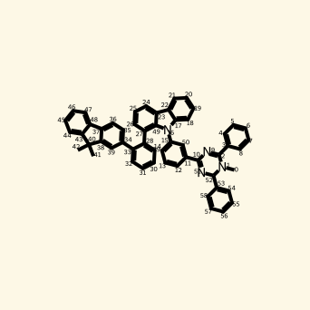 CN1C(c2ccccc2)=NC(c2cccc(-n3c4ccccc4c4cccc(-c5ccccc5-c5ccc6c(c5)C(C)(C)c5ccccc5-6)c43)c2)=NC1c1ccccc1